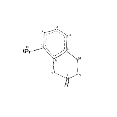 CC(C)c1cccc2c1CNCC2